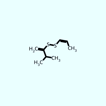 C=C(SS/C=C\C)C(C)C